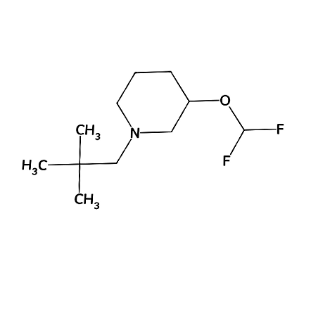 CC(C)(C)CN1CCCC(OC(F)F)C1